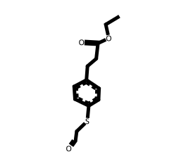 CCOC(=O)CCc1ccc(SCC=O)cc1